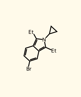 CCc1c2ccc(Br)cc2c(CC)n1C1CC1